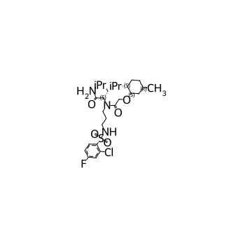 CC(C)C[C@@H](C(N)=O)N(CCCNS(=O)(=O)c1ccc(F)cc1Cl)C(=O)CO[C@H]1C[C@H](C)CC[C@H]1C(C)C